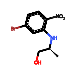 C[C@H](CO)Nc1cc(Br)ccc1[N+](=O)[O-]